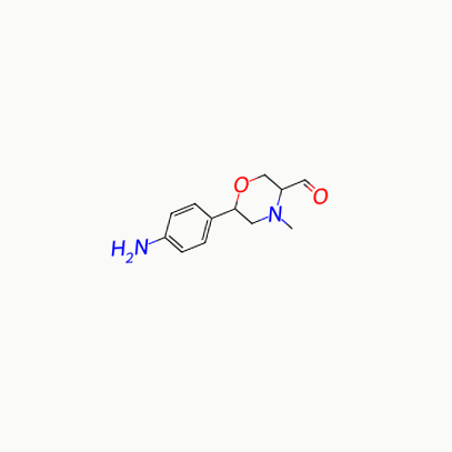 CN1CC(c2ccc(N)cc2)OCC1C=O